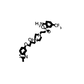 Cc1nc2cc(OC[C@H](O)CN3CCN(CCS(=O)(=O)c4cc(C(F)(F)F)ccc4N)CC3)ccc2s1